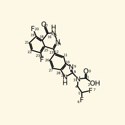 O=C(O)N(CC(F)F)c1nc2cc(-c3n[nH]c(=O)c4c(F)ccc(F)c34)ccc2[nH]1